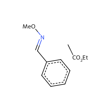 CCOC(C)=O.CO/N=C/c1ccccc1